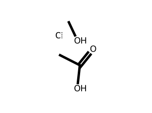 CC(=O)O.CO.[C]